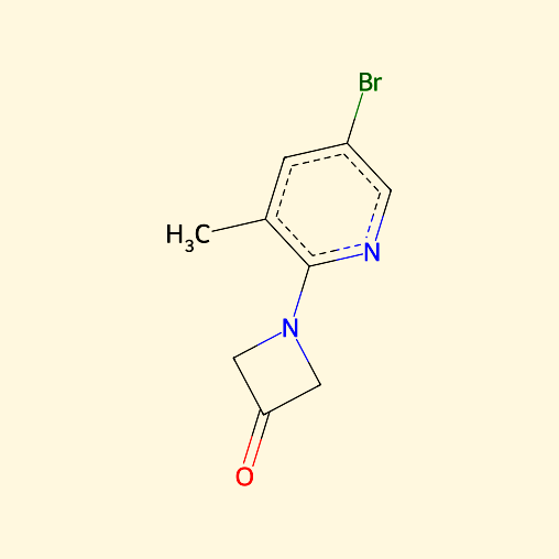 Cc1cc(Br)cnc1N1CC(=O)C1